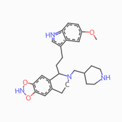 COc1ccc2[nH]cc(CCC3c4cc5c(cc4CCN3CC3CCNCC3)ONO5)c2c1